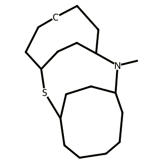 CN1C2CCCCCC(CC2)SC2CCCCCC1CC2